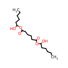 CCCCCC(O)OC(=O)CCCCC(=O)OC(O)CCCCC